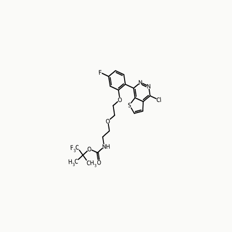 CC(C)(OC(=O)NCCOCCOc1cc(F)ccc1-c1nnc(Cl)c2ccsc12)C(F)(F)F